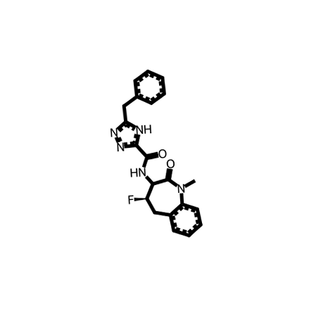 CN1C(=O)C(NC(=O)c2nnc(Cc3ccccc3)[nH]2)[C@H](F)Cc2ccccc21